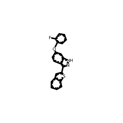 Fc1ccccc1Oc1ccc2c(-c3cc4ccccc4s3)n[nH]c2c1